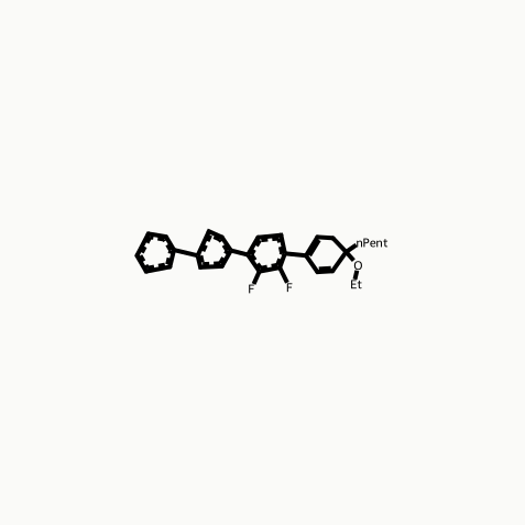 CCCCCC1(OCC)C=CC(c2ccc(-c3ccc(-c4ccccc4)cc3)c(F)c2F)=CC1